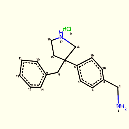 Cl.NCc1ccc(C2(Cc3ccccc3)CCNC2)cc1